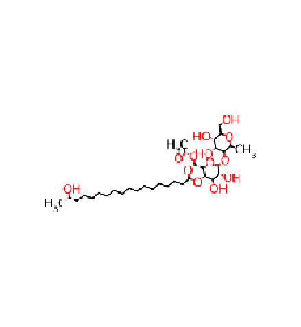 CC(=O)OCC1O[C@@H](O[C@@H]2C(C)OC(CO)[C@@H](O)C2O)[C@@H](O)C(O)[C@@H]1OC(=O)CCCCCCCCCCCCCCCC(C)O